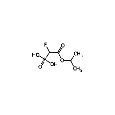 CC(C)OC(=O)C(F)P(=O)(O)O